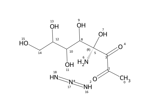 CC(=O)C(=O)[C@](N)(O)C(O)C(O)C(O)CO.N=[N+]=N